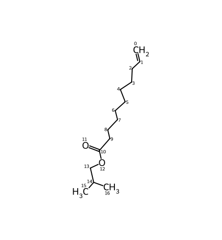 C=CCCCCCCCCC(=O)OCC(C)C